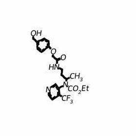 CCOC(=O)N(c1cnccc1C(F)(F)F)C(C)CCNC(=O)COc1ccc(CO)cc1